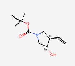 C=C[C@@H]1CN(C(=O)OC(C)(C)C)C[C@H]1O